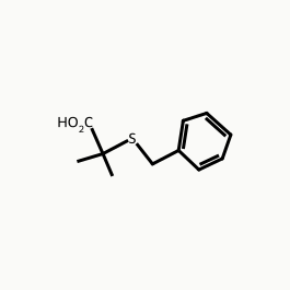 CC(C)(SCc1ccccc1)C(=O)O